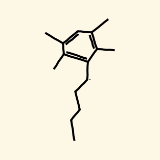 CCCC[CH]c1c(C)c(C)cc(C)c1C